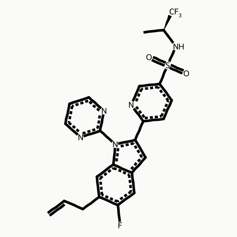 C=CCc1cc2c(cc1F)cc(-c1ccc(S(=O)(=O)N[C@@H](C)C(F)(F)F)cn1)n2-c1ncccn1